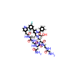 CC(C)(C)[C@H](c1cc(-c2cc(F)ccc2F)cn1Cc1ccccc1)N(CC[C@H](NC(=O)[C@H](CC(N)=O)NC(=O)CNC(=O)CNC(=O)Cc1ccncc1)C(=O)NCCNC(=O)CN)C(=O)CO